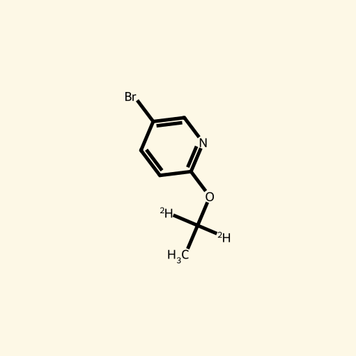 [2H]C([2H])(C)Oc1ccc(Br)cn1